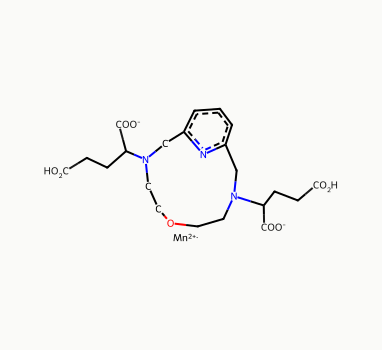 O=C(O)CCC(C(=O)[O-])N1CCOCCN(C(CCC(=O)O)C(=O)[O-])Cc2cccc(n2)C1.[Mn+2]